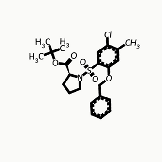 Cc1cc(OCc2ccccc2)c(S(=O)(=O)N2CCC[C@H]2C(=O)OC(C)(C)C)cc1Cl